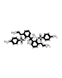 C=CCc1cccc(C(C)(C)c2cccc(CC=C)c2OS(=O)(=O)c2ccc(C)cc2)c1OS(=O)(=O)c1ccc(C)cc1